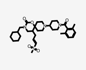 Cc1cccc(C)c1C(=O)N1CCC(N2CCC3(CC2)OC(=O)N(CC2CCCCC2)CC3C/C=C/S(C)(=O)=O)CC1